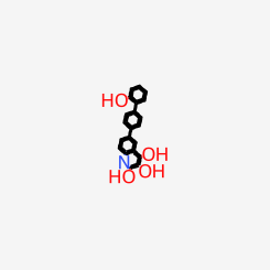 Oc1ccccc1-c1ccc(-c2ccc3nc(O)c(O)c(O)c3c2)cc1